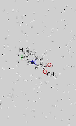 COC(=O)c1cc2cc(C)c(F)cn2c1